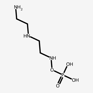 NCCNCCNOP(=O)(O)O